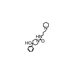 O=C(NCCCN1CCCCC1)N1CCC(O)(c2ccccc2)CC1